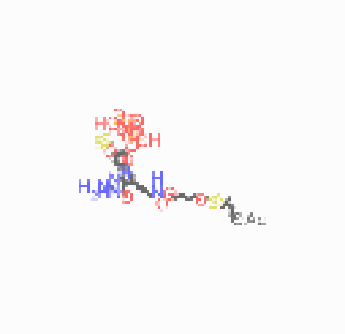 CC(=O)OCCC(C)(C)SSCOCCCCOC(=O)NCC#Cc1cn([C@H]2C[C@H](OCS(C)=S)[C@@H](COP(=O)(O)OP(=O)(O)OP(=O)(O)O)O2)c2nc(N)[nH]c(=O)c12